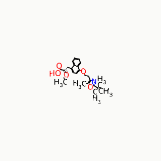 CCO[C@@H](Cc1ccc(OCCc2nc(C(C)(C)C)oc2C)c2ccccc12)C(=O)O